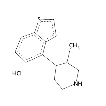 CC1CNCCC1c1cccc2sccc12.Cl